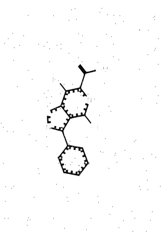 COC(=O)c1nc(O)c2c(-c3ccccc3)nsc2c1O